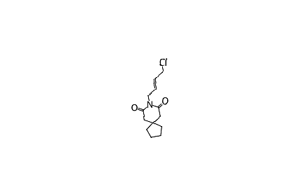 O=C1CC2(CCCC2)CC(=O)N1CC=CCCl